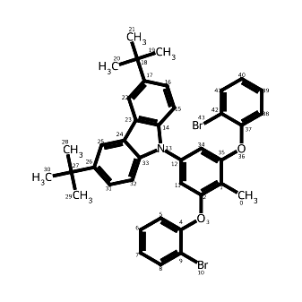 Cc1c(Oc2ccccc2Br)cc(-n2c3ccc(C(C)(C)C)cc3c3cc(C(C)(C)C)ccc32)cc1Oc1ccccc1Br